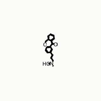 CN(O)CCCc1ccc2c(c1)C(=O)c1ccccc1CO2